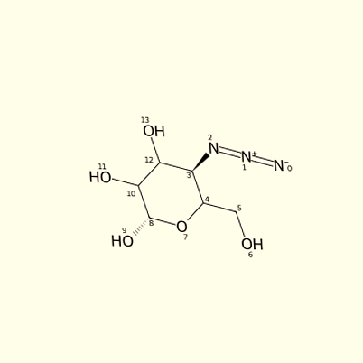 [N-]=[N+]=N[C@H]1C(CO)O[C@H](O)C(O)C1O